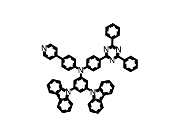 c1ccc(-c2nc(-c3ccccc3)nc(-c3ccc(N(c4ccc(-c5ccncc5)cc4)c4cc(-n5c6ccccc6c6ccccc65)cc(-n5c6ccccc6c6ccccc65)c4)cc3)n2)cc1